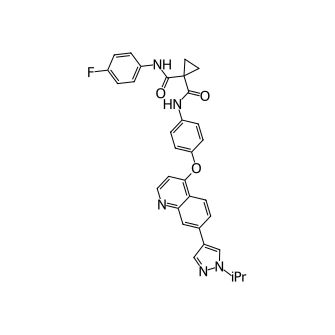 CC(C)n1cc(-c2ccc3c(Oc4ccc(NC(=O)C5(C(=O)Nc6ccc(F)cc6)CC5)cc4)ccnc3c2)cn1